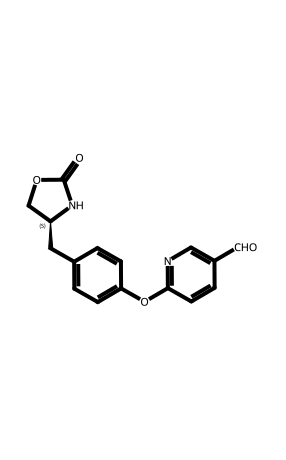 O=Cc1ccc(Oc2ccc(C[C@H]3COC(=O)N3)cc2)nc1